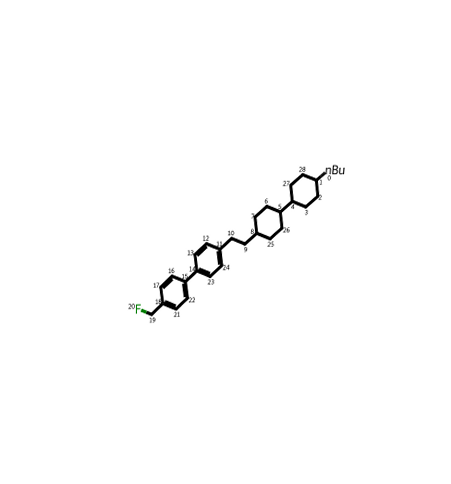 CCCCC1CCC(C2CCC(CCc3ccc(-c4ccc(CF)cc4)cc3)CC2)CC1